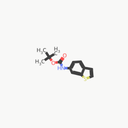 CC(C)(C)OC(=O)Nc1ccc2ccsc2c1